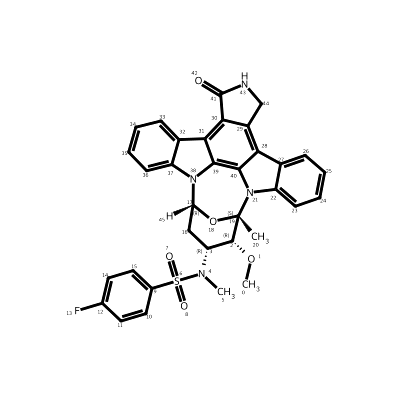 CO[C@@H]1[C@H](N(C)S(=O)(=O)c2ccc(F)cc2)C[C@H]2O[C@]1(C)n1c3ccccc3c3c4c(c5c6ccccc6n2c5c31)C(=O)NC4